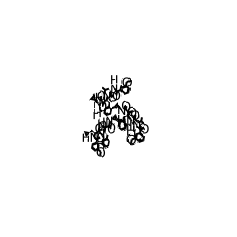 COc1cccc(C(=O)N[C@@H](CC(C)C)C(=O)N[C@@H](Cc2ccccc2C2CC2NC(=O)C(=O)[C@H](Cc2ccccc2C2CC2NC(=O)C(=O)[C@H](Cc2ccccc2)NC(=O)[C@H](CC2CC2)NC(=O)c2cccc(OC)c2)NC(=O)[C@@H](NC(=O)c2cccc(OC)c2)C(C)C)C(=O)C(=O)NC2CC2)c1